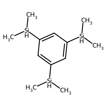 C[SiH](C)c1cc([SiH](C)C)cc([SiH](C)C)c1